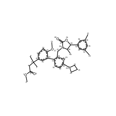 COC(=O)CC(C)(C)c1ccc(OC)c(-c2ccc(N3CCC3)nc2CN2C(=O)OC(c3cc(C)cc(C)c3)C2C)c1